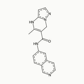 CC1=C(C(=O)Nc2ccc3cnccc3c2)Cn2nccc2N1